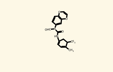 CC1=CC=C(NC(=O)N(C=O)c2ccc3c(c2)OC=CO3)CC1C(F)(F)F